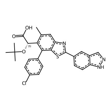 Cc1cc2nc(-c3ccc4[nH]ncc4c3)sc2c(-c2ccc(Cl)cc2)c1[C@H](OC(C)(C)C)C(=O)O